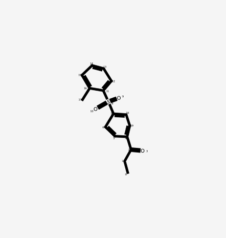 CCC(=O)c1ccc(S(=O)(=O)c2ccccc2C)cc1